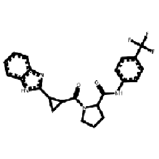 O=C(Nc1ccc(C(F)(F)F)cc1)C1CCCN1C(=O)C1CC1c1nc2ccccc2[nH]1